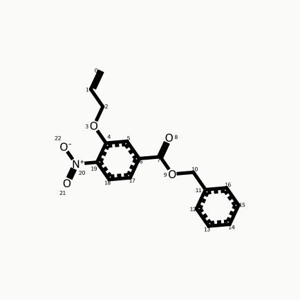 C=CCOc1cc(C(=O)OCc2ccccc2)ccc1[N+](=O)[O-]